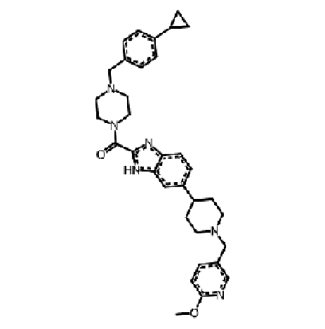 COc1ccc(CN2CCC(c3ccc4nc(C(=O)N5CCN(Cc6ccc(C7CC7)cc6)CC5)[nH]c4c3)CC2)cn1